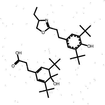 CC(C)(C)C1=CC(CCC(=O)O)=CC(C(C)(C)C)C1(C)O.CCC1COC(CCc2cc(C(C)(C)C)c(O)c(C(C)(C)C)c2)=N1